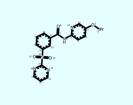 CC(C)Oc1ccc(NC(=O)c2cccc(S(=O)(=O)c3ncccn3)c2)nc1